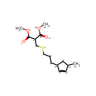 COC(=O)C(CSCCCC1C=CC(C)C1)C(=O)OC